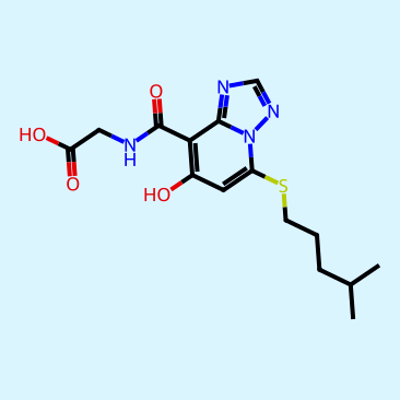 CC(C)CCCSc1cc(O)c(C(=O)NCC(=O)O)c2ncnn12